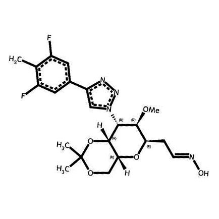 CO[C@@H]1[C@@H](n2cc(-c3cc(F)c(C)c(F)c3)nn2)[C@H]2OC(C)(C)OC[C@H]2O[C@@H]1CC=NO